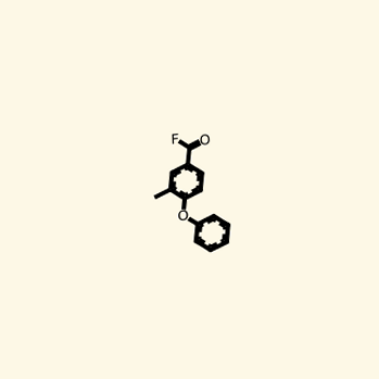 Cc1cc(C(=O)F)ccc1Oc1ccccc1